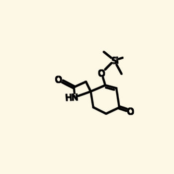 C[Si](C)(C)OC1=CC(=O)CCC12CC(=O)N2